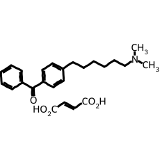 CN(C)CCCCCCc1ccc(C(=O)c2ccccc2)cc1.O=C(O)C=CC(=O)O